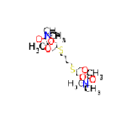 CN(C)C(=O)C1(C)OCC(SC/C=C/CSC2COC(C)(C(=O)N(C)C)OC2)CO1